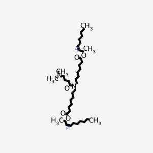 CCCCCC/C=C\C(C)OC(=O)CCCCCCCN(CCCCCCCC(=O)OC(C)/C=C\CCCCCC)C(=O)CCCN(C)C